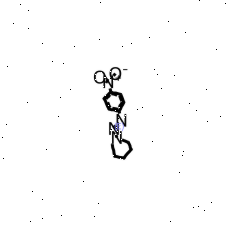 O=[N+]([O-])c1ccc(/N=N/N2CCCCC2)cc1